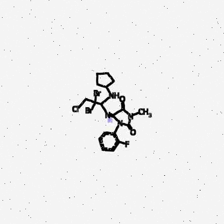 CN1C(=O)/C(=N\C(NC2CCCC2)C(Br)(Br)CCl)N(c2ccccc2F)C1=O